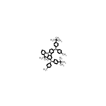 Cc1ccc(N(c2ccc(C(C)(C)C)cc2)c2ccc3c(c2)c2cc(N(c4ccc(C)cc4)c4ccc(C(C)(C)C)cc4)cc4c2n3-c2ccccc2C4(C)C)cc1